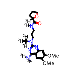 [2H]N(CCCN(c1nc(N([2H])[2H])c2cc(OC)c(OC)cc2n1)C([2H])([2H])[2H])C(=O)C1([2H])CCCO1